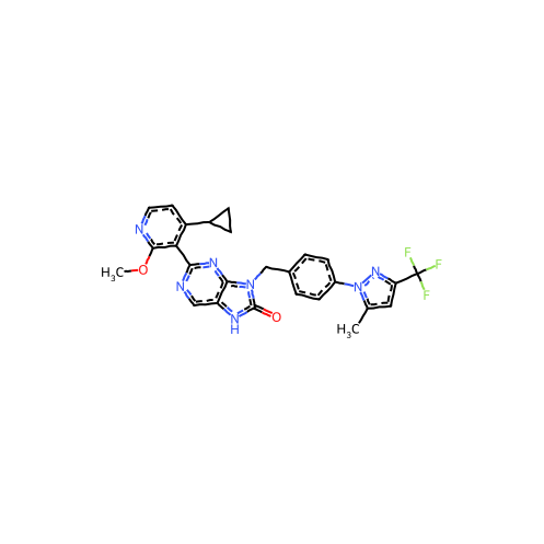 COc1nccc(C2CC2)c1-c1ncc2[nH]c(=O)n(Cc3ccc(-n4nc(C(F)(F)F)cc4C)cc3)c2n1